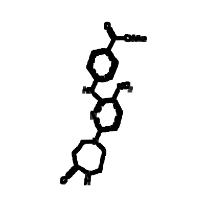 COC(=O)c1ccc(Nc2nc(N3CCNC(=O)CC3)ccc2[N+](=O)[O-])cc1